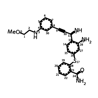 COCCNc1cccc(C#CC(=N)c2ccc(Sc3ccccc3C(N)=O)cc2N)c1